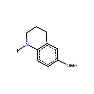 COc1ccc2c(c1)CCCN2I